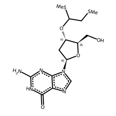 CSCC(O[C@H]1C[C@H](n2cnc3c(=O)[nH]c(N)nc32)O[C@@H]1CO)SC